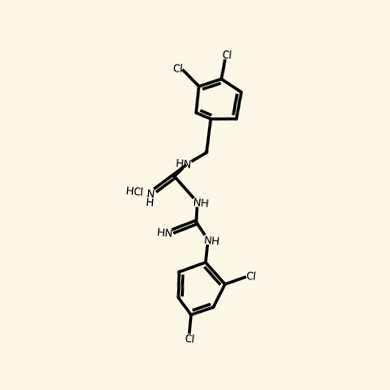 Cl.N=C(NCc1ccc(Cl)c(Cl)c1)NC(=N)Nc1ccc(Cl)cc1Cl